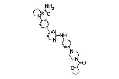 NC(=O)[C@H]1CCCN1c1ccc(-c2ccnc(Nc3ccc(N4CCN(C(=O)C5CCCO5)CC4)cc3)n2)cc1